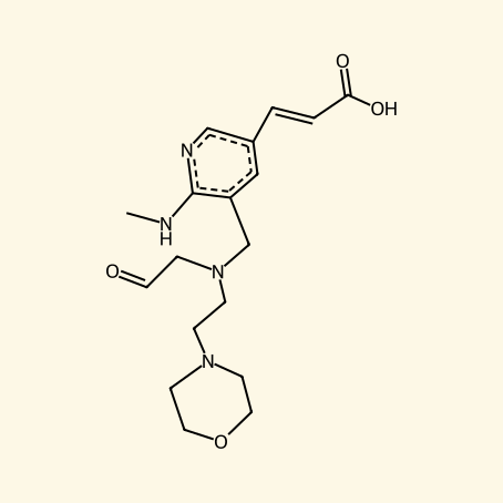 CNc1ncc(/C=C/C(=O)O)cc1CN(CC=O)CCN1CCOCC1